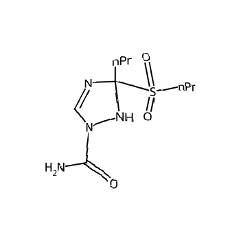 CCCC1(S(=O)(=O)CCC)N=CN(C(N)=O)N1